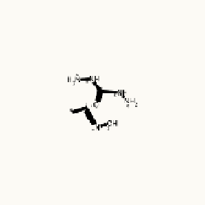 CC=NO.NNC(=O)NN